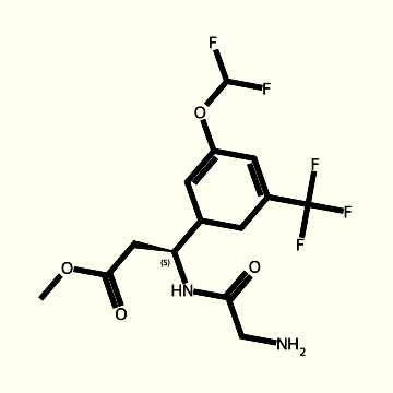 COC(=O)C[C@H](NC(=O)CN)C1C=C(OC(F)F)C=C(C(F)(F)F)C1